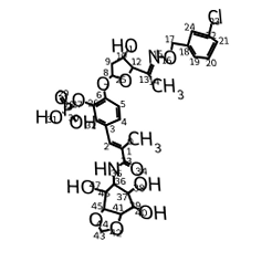 CC(=Cc1ccc(OC2CC(O)C(C(C)=NOCc3cccc(Cl)c3)O2)c(OP(=O)(O)O)c1)C(=O)NC1C(O)C(O)C2OCOC2C1O